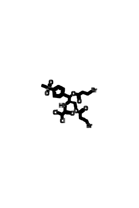 CS(=O)(=O)c1ccc([C@@H](OC(=O)CCBr)[C@@H](COC(=O)CCBr)NC(=O)C(Cl)Cl)cc1